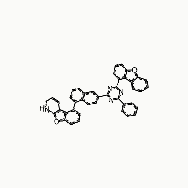 C1=Cc2c(oc3cccc(-c4cccc5cc(-c6nc(-c7ccccc7)nc(-c7cccc8oc9ccccc9c78)n6)ccc45)c23)NC1